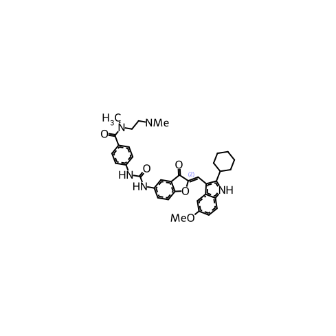 CNCCN(C)C(=O)c1ccc(NC(=O)Nc2ccc3c(c2)C(=O)/C(=C/c2c(C4CCCCC4)[nH]c4ccc(OC)cc24)O3)cc1